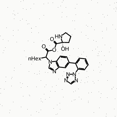 CCCCCCC(C(=O)OC(=O)[C@]1(O)CCCN1)n1cnc2cc(-c3ccccc3-n3ncnn3)ccc21